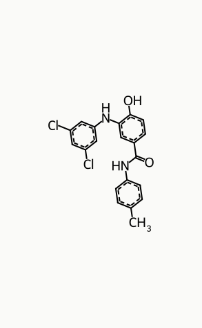 Cc1ccc(NC(=O)c2ccc(O)c(Nc3cc(Cl)cc(Cl)c3)c2)cc1